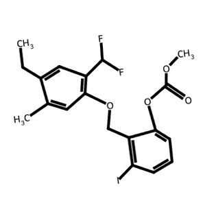 CCc1cc(C(F)F)c(OCc2c(I)cccc2OC(=O)OC)cc1C